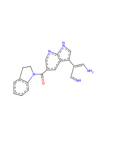 N=C/C(=C\N)c1c[nH]c2ncc(C(=O)N3CCc4ccccc43)cc12